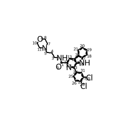 O=C(NCCCN1CCOCC1)c1cc2c([nH]c3ccccc32)c(-c2ccc(Cl)c(Cl)c2)n1